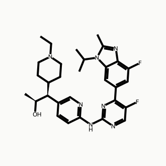 CCN1CCC([C@@H](c2ccc(Nc3ncc(F)c(-c4cc(F)c5nc(C)n(C(C)C)c5c4)n3)nc2)[C@H](C)O)CC1